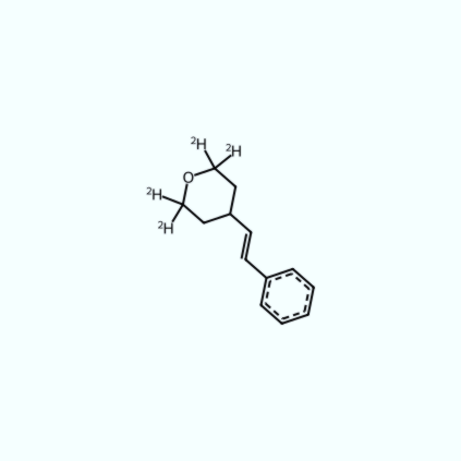 [2H]C1([2H])CC(/C=C/c2ccccc2)CC([2H])([2H])O1